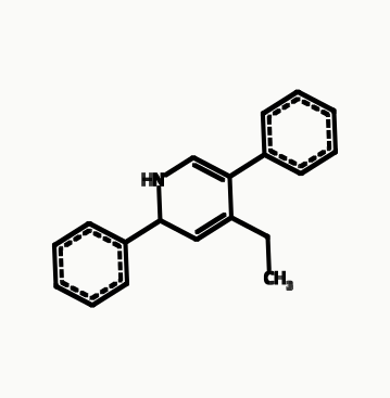 CCC1=CC(c2ccccc2)NC=C1c1ccccc1